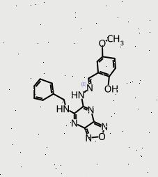 COc1ccc(O)c(/C=N/Nc2nc3nonc3nc2NCc2ccccc2)c1